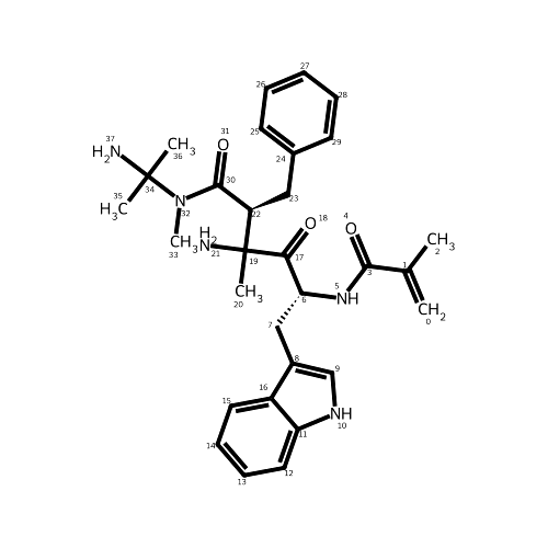 C=C(C)C(=O)N[C@H](Cc1c[nH]c2ccccc12)C(=O)C(C)(N)[C@H](Cc1ccccc1)C(=O)N(C)C(C)(C)N